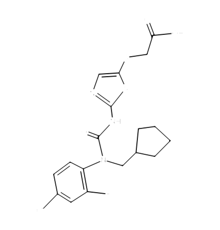 O=C(O)CSc1cnc(NC(=O)N(CC2CCCC2)c2ccc(Cl)cc2F)s1